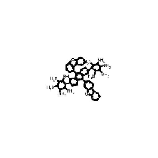 Bc1c(B)c(B)c(-c2ccc3c(-c4cccc5oc6ccccc6c45)c4cc(-c5c(B)c(B)c(B)c(B)c5B)ccc4c(-c4ccc5c(c4)oc4ccccc45)c3c2)c(B)c1B